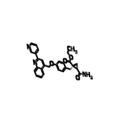 CCOC(=O)[C@@]1(Cc2ccc(OCc3cc(-c4cccnc4)nc4ccccc34)cc2)CC1C(N)=O